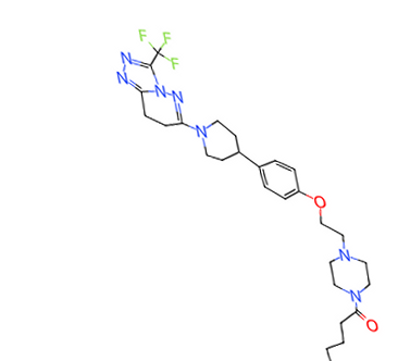 CCCCC(=O)N1CCN(CCOc2ccc(C3CCN(C4=Nn5c(nnc5C(F)(F)F)CC4)CC3)cc2)CC1